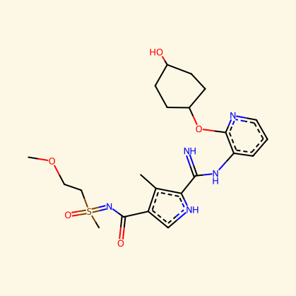 COCCS(C)(=O)=NC(=O)c1c[nH]c(C(=N)Nc2cccnc2OC2CCC(O)CC2)c1C